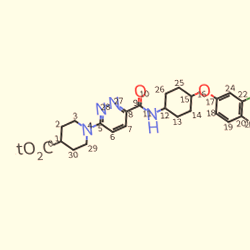 CCOC(=O)C1CCN(c2ccc(C(=O)NC3CCC(Oc4ccc(C#N)c(Cl)c4)CC3)nn2)CC1